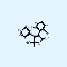 CC1(O)OC(=O)C(c2c(F)cccc2F)=C1c1ccncc1